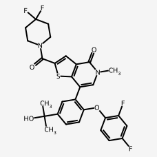 Cn1cc(-c2cc(C(C)(C)O)ccc2Oc2ccc(F)cc2F)c2sc(C(=O)N3CCC(F)(F)CC3)cc2c1=O